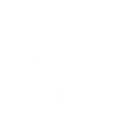 CCC(=O)c1sc(C#CC(C)(C)C)cc1C1=C(C2CCC(C)CC2)CN(CC)CC1